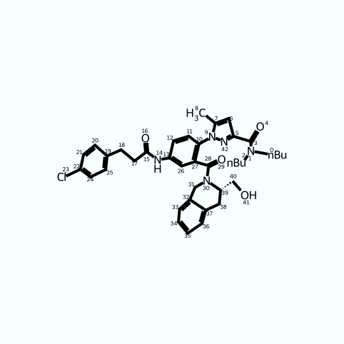 CCCCN(CCCC)C(=O)c1cc(C)n(-c2ccc(NC(=O)CCc3ccc(Cl)cc3)cc2C(=O)N2Cc3ccccc3C[C@H]2CO)n1